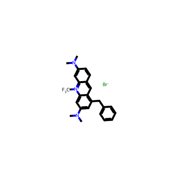 CN(C)c1ccc2cc3c(Cc4ccccc4)cc(N(C)C)cc3[n+](C(F)(F)F)c2c1.[Br-]